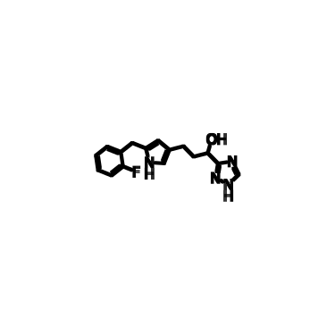 OC(CCc1c[nH]c(Cc2ccccc2F)c1)c1nc[nH]n1